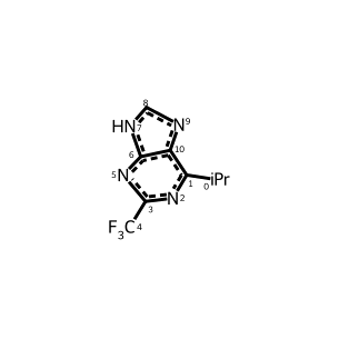 CC(C)c1nc(C(F)(F)F)nc2[nH]cnc12